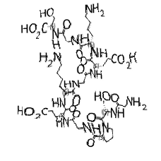 NCCCC[C@H](NC(=O)[C@H](CCC(=O)O)NC(=O)CNC(=O)[C@H](CCCCN)NC(=O)[C@H](CCC(=O)O)NC(=O)CNC(=O)[C@@H]1CCCN1C(=O)[C@H](CO)NC(=O)CN)C(=O)NCC(=O)N[C@@H](CO)C(=O)O